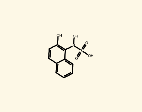 O=S(=O)(O)N(O)c1c(O)ccc2ccccc12